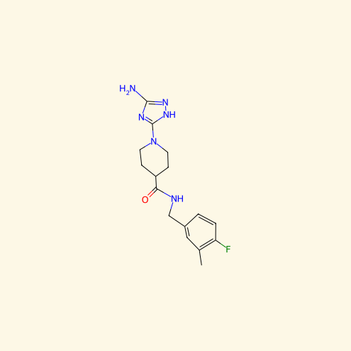 Cc1cc(CNC(=O)C2CCN(c3nc(N)n[nH]3)CC2)ccc1F